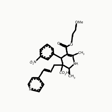 COCCOC(=O)C1=C(C)NC(C)C(C/C=C/c2ccncc2)(C(=O)O)C1c1cccc([N+](=O)[O-])c1